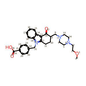 COCCN1CCN(CC2CCc3c(c4ccccc4n3Cc3ccc(C(=O)O)cc3)C2=O)CC1